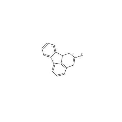 FC1=Cc2cccc3c2C(C1)c1ccccc1-3